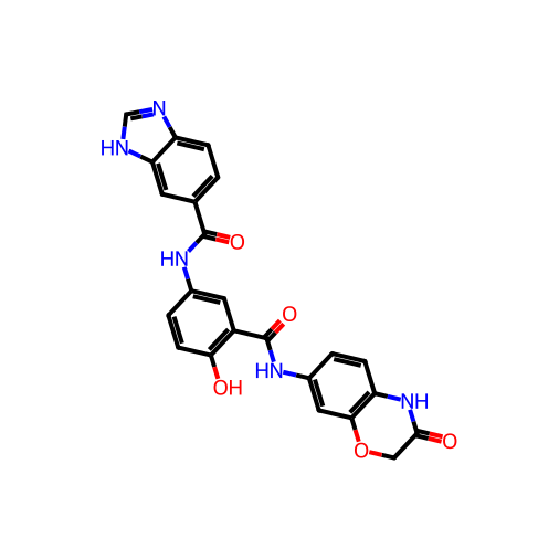 O=C1COc2cc(NC(=O)c3cc(NC(=O)c4ccc5nc[nH]c5c4)ccc3O)ccc2N1